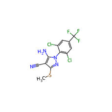 CSc1nn(-c2c(Cl)cc(C(F)(F)F)cc2Cl)c(N)c1C#N